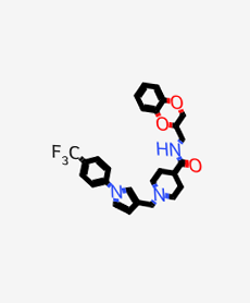 O=C(NCC1COc2ccccc2O1)C1CCN(Cc2ccn(-c3ccc(C(F)(F)F)cc3)c2)CC1